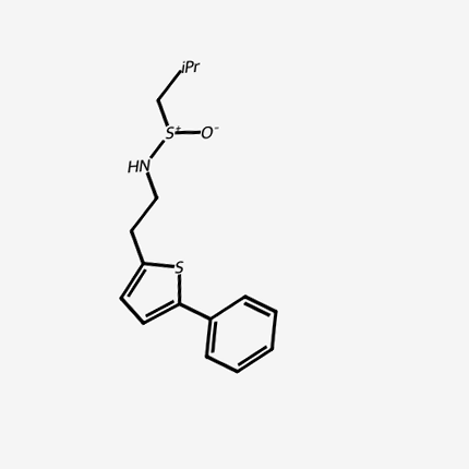 CC(C)C[S+]([O-])NCCc1ccc(-c2ccccc2)s1